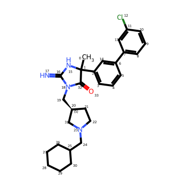 CC1(c2cccc(-c3cccc(Cl)c3)c2)NC(=N)N(C[C@H]2CCN(CC3CCCCC3)C2)C1=O